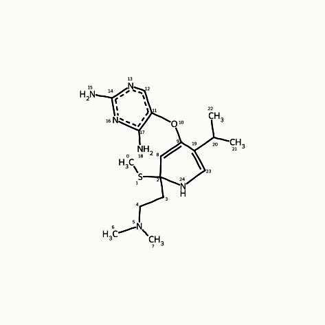 CSC1(CCN(C)C)C=C(Oc2cnc(N)nc2N)C(C(C)C)=CN1